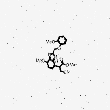 COC(=O)C(CC#N)c1ccc(OC)c2nc(COc3ccccc3OC)[nH]c12